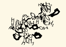 CCC(C)[C@H](NC(=O)[C@H](Cc1ccc(O)cc1)NC(=O)[C@@H](NC(=O)[C@H](CCCNC(=N)N)NC(=O)CN(C)C(=O)OCc1ccccc1)C(C)C)C(=O)N[C@@H](Cc1c[nH]cn1)C(=O)N1CCC[C@H]1C(=O)N[C@H](C)C(=O)OCc1ccccc1